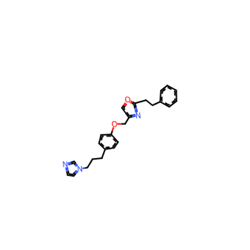 c1ccc(CCc2nc(COc3ccc(CCCn4ccnc4)cc3)co2)cc1